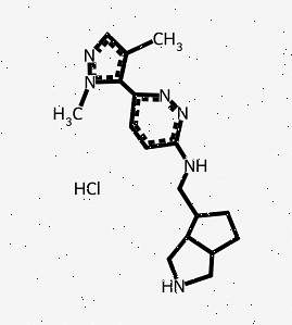 Cc1cnn(C)c1-c1ccc(NCC2CCC3CNCC32)nn1.Cl